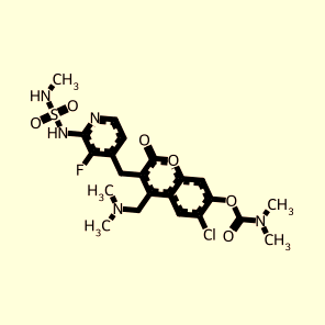 CNS(=O)(=O)Nc1nccc(Cc2c(CN(C)C)c3cc(Cl)c(OC(=O)N(C)C)cc3oc2=O)c1F